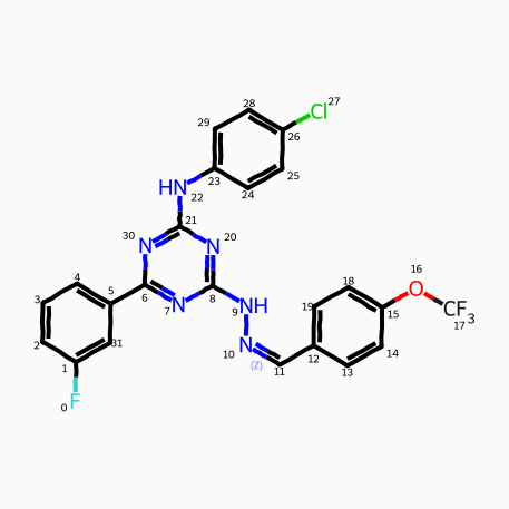 Fc1cccc(-c2nc(N/N=C\c3ccc(OC(F)(F)F)cc3)nc(Nc3ccc(Cl)cc3)n2)c1